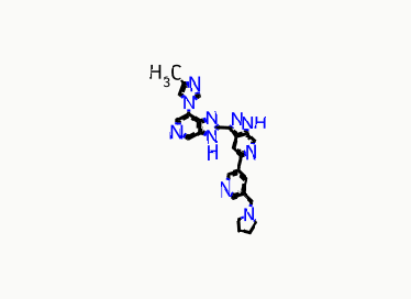 Cc1cn(-c2cncc3[nH]c(-c4n[nH]c5cnc(-c6cncc(CN7CCCC7)c6)cc45)nc23)cn1